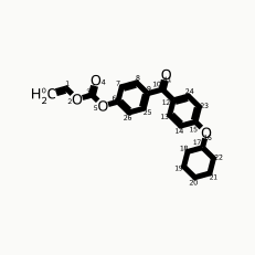 C=COC(=O)Oc1ccc(C(=O)c2ccc(OC3CCCCC3)cc2)cc1